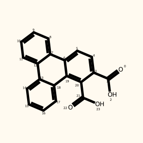 O=C(O)c1ccc2c3ccccc3c3ccccc3c2c1C(=O)O